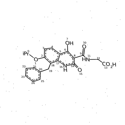 CC(C)Oc1ccc2c(O)c(C(=O)NCC(=O)O)c(=O)[nH]c2c1Cc1ccccc1